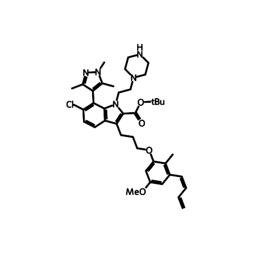 C=C/C=C\c1cc(OC)cc(OCCCc2c(C(=O)OC(C)(C)C)n(CCN3CCNCC3)c3c(-c4c(C)nn(C)c4C)c(Cl)ccc23)c1C